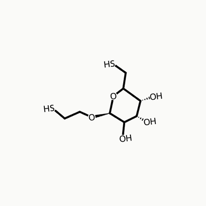 OC1[C@@H](OCCS)OC(CS)[C@H](O)[C@@H]1O